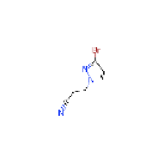 N#CCCn1ccc(Br)n1